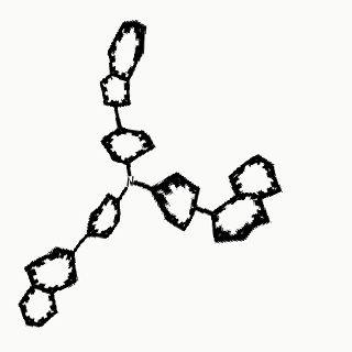 c1ccc2cc(-c3ccc(N(c4ccc(-c5ccc6ccccc6c5)cc4)c4ccc(-c5cccc6ccccc56)cc4)cc3)ccc2c1